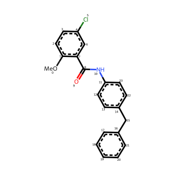 COc1ccc(Cl)cc1C(=O)Nc1ccc(Cc2ccccc2)cc1